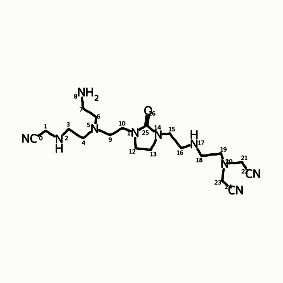 N#CCNCCN(CCN)CCN1CCN(CCNCCN(CC#N)CC#N)C1=O